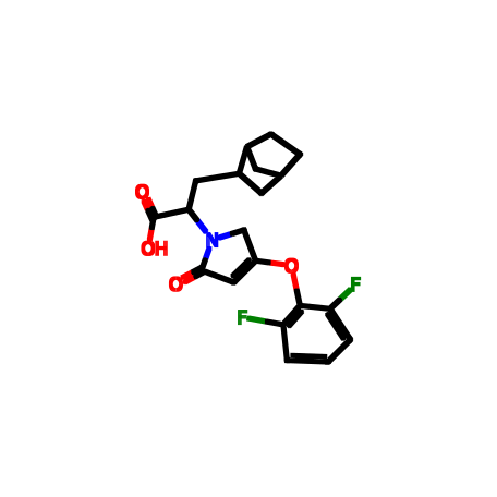 O=C(O)C(CC1CC2CCC1C2)N1CC(Oc2c(F)cccc2F)=CC1=O